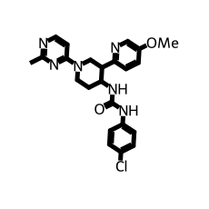 COc1ccc(C2CN(c3ccnc(C)n3)CCC2NC(=O)Nc2ccc(Cl)cc2)nc1